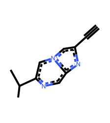 C#Cc1cn2cc(C(C)C)ncc2n1